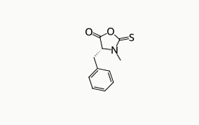 CN1C(=S)OC(=O)[C@H]1Cc1ccccc1